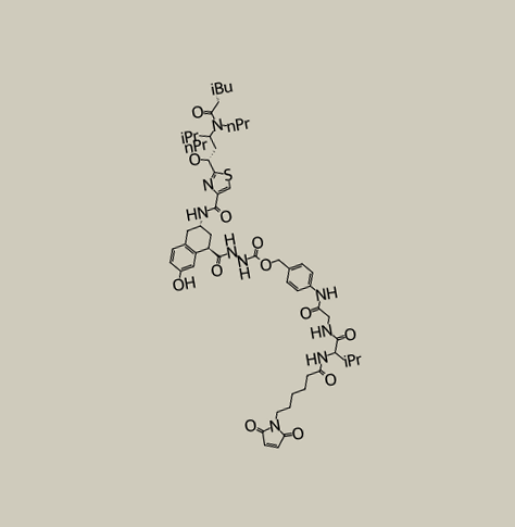 CCCO[C@H](CC(C(C)C)N(CCC)C(=O)C[C@@H](C)CC)c1nc(C(=O)N[C@H]2Cc3ccc(O)cc3[C@H](C(=O)NNC(=O)OCc3ccc(NC(=O)CNC(=O)C(NC(=O)CCCCCN4C(=O)C=CC4=O)C(C)C)cc3)C2)cs1